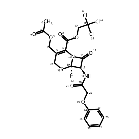 CC(=O)OCC1=C(C(=O)OCC(Cl)(Cl)Cl)N2C(=O)[C@@H](NC(=O)COc3ccccc3)[C@H]2SC1